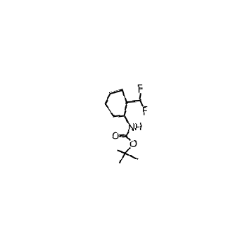 CC(C)(C)OC(=O)NC1CCCCC1C(F)F